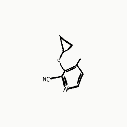 Cc1ccnc(C#N)c1OC1CC1